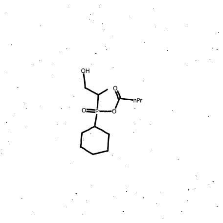 CCCC(=O)OP(=O)(C(C)CO)C1CCCCC1